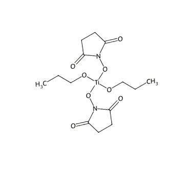 CCC[O][Ti]([O]CCC)([O]N1C(=O)CCC1=O)[O]N1C(=O)CCC1=O